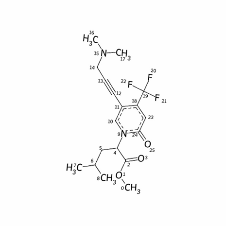 COC(=O)C(CC(C)C)n1cc(C#CCN(C)C)c(C(F)(F)F)cc1=O